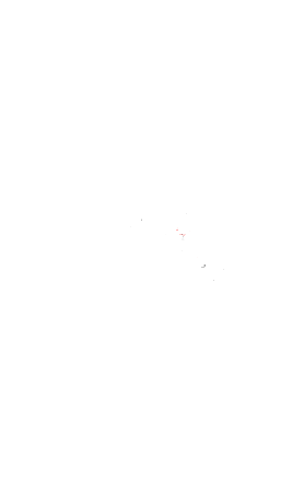 O=C(O)CCCCSCCC1C2CCC(O2)C1CCOC1CCCC1